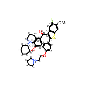 COc1cc2sc(-c3ccc(OCCN4CCCC4)cc3)c(C(=O)c3ccc(O[C@@H]4CCCC[C@H]4N4CCCCC4)cc3)c2cc1F